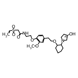 C=CS(=O)(=O)CC(=O)NCCOc1ccc(CCOC2CCCCC2N2CC[C@@H](O)C2)cc1OC